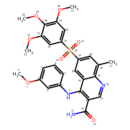 COc1cccc(Nc2c(C(N)=O)cnc3c(C)cc(S(=O)(=O)c4cc(OC)c(OC)c(OC)c4)cc23)c1